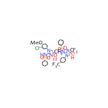 COc1ccc(N2CC(O)(C(F)(F)F)N=C2NS(=O)(=O)c2ccccc2)cc1Cl.O=S(=O)(NC1=NC(O)(C(F)(F)F)CN1c1ccc(C(F)(F)F)cc1)c1ccccc1